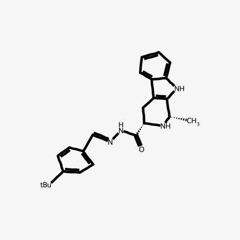 C[C@@H]1N[C@H](C(=O)N/N=C/c2ccc(C(C)(C)C)cc2)Cc2c1[nH]c1ccccc21